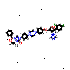 CC[C@@H]([C@H](C)OCc1ccccc1)n1ncn(-c2ccc(N3CCN(c4ccc(OC[C@@H]5CO[C@](Cn6cncn6)(c6ccc(F)cc6F)C5)cc4)CC3)cc2)c1=O